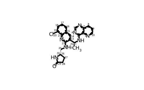 C[C@H](Nc1ncnc2cccnc12)c1cc2cccc(Cl)c2nc1NC[C@@H]1CCC(=O)N1